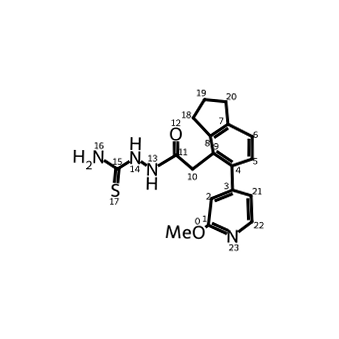 COc1cc(-c2ccc3c(c2CC(=O)NNC(N)=S)CCC3)ccn1